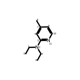 CCN(CC)c1cc(C)ccn1